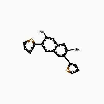 CC(C)(C)c1cc2cc(C(C)(C)C)c(-c3cccs3)cc2cc1-c1cccs1